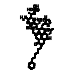 CC(C)C[C@H](NC(=O)CN(CCCCCCc1ccccc1)C(=O)CCOCCO)C(=O)N[C@@H](Cc1ncc[nH]1)C(=O)N[C@@H](CO)C(=O)N[C@H](C(N)=O)[C@@H](C)OP(=O)(O)O